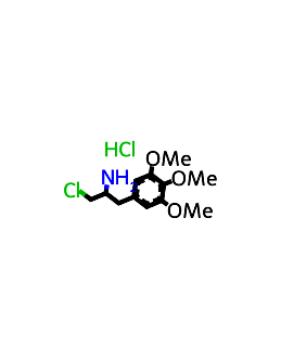 COc1cc(CC(N)CCl)cc(OC)c1OC.Cl